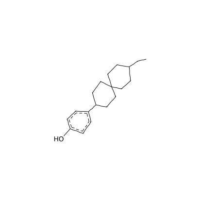 CCC1CCC2(CC1)CCC(c1ccc(O)cc1)CC2